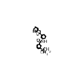 CN(C)c1cccc(C(=O)Nc2cccc(C3Cc4cccnc4O3)c2)c1